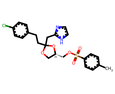 Cc1ccc(S(=O)(=O)OC[C@@H]2COC(CCc3ccc(Cl)cc3)(Cc3ncc[nH]3)O2)cc1